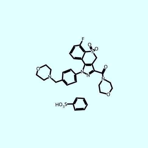 O=C(c1nn(-c2ccc(CN3CCOCC3)cc2)c2c1CS(=O)(=O)c1c(F)cccc1-2)N1CCOCC1.O=S(=O)(O)c1ccccc1